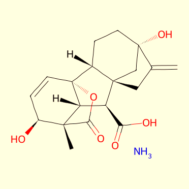 C=C1C[C@]23C[C@@]1(O)CC[C@H]2[C@@]12C=C[C@H](O)[C@@](C)(C(=O)O1)[C@H]2[C@@H]3C(=O)O.N